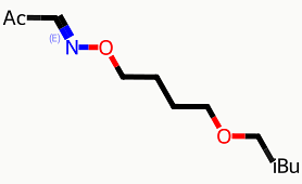 CCC(C)COCCCCO/N=C/C(C)=O